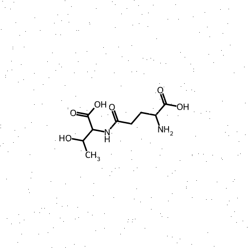 CC(O)C(NC(=O)CCC(N)C(=O)O)C(=O)O